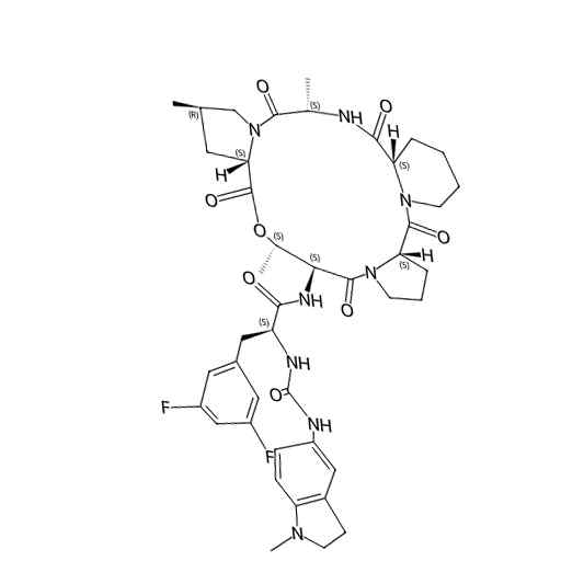 C[C@@H]1C[C@H]2C(=O)O[C@@H](C)[C@H](NC(=O)[C@H](Cc3cc(F)cc(F)c3)NC(=O)Nc3ccc4c(c3)CCN4C)C(=O)N3CCC[C@H]3C(=O)N3CCCC[C@H]3C(=O)N[C@@H](C)C(=O)N2C1